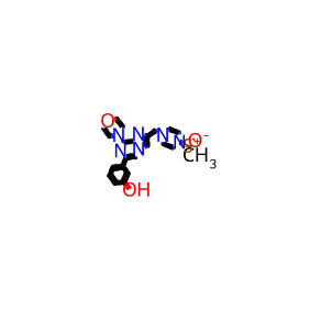 C[S+]([O-])N1CCN(Cc2cn3cc(-c4cccc(O)c4)nc(N4CCOCC4)c3n2)CC1